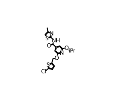 Cc1csc(NC(=O)c2cc(OCc3ccc(Cl)s3)nc(OC(C)C)c2)n1